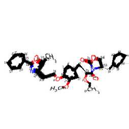 CCO[C@@H](Cc1ccc(OCCc2nc(-c3ccccc3)oc2C)c(OC)c1)C(=O)N1C(=O)OC[C@@H]1Cc1ccccc1